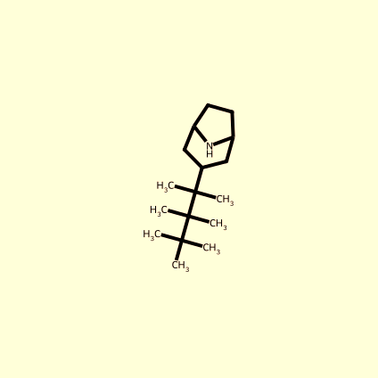 CC(C)(C)C(C)(C)C(C)(C)C1CC2CCC(C1)N2